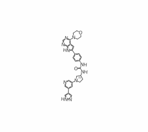 O=C(Nc1ccc(-c2cc3c(N4CCOCC4)ncnc3[nH]2)cc1)N[C@H]1CCN(c2cncc(-c3cn[nH]c3)c2)C1